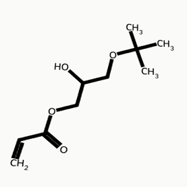 C=CC(=O)OCC(O)COC(C)(C)C